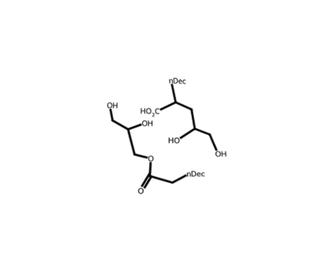 CCCCCCCCCCC(CC(O)CO)C(=O)O.CCCCCCCCCCCC(=O)OCC(O)CO